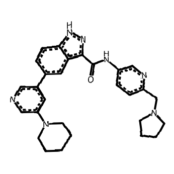 O=C(Nc1ccc(CN2CCCC2)nc1)c1n[nH]c2ccc(-c3cncc(N4CCCCC4)c3)cc12